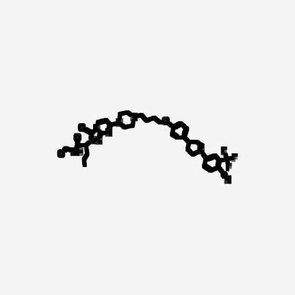 CCCC(C(=O)NC=O)n1nc2nc(N3CCN(CCCCOc4ccc(C5CCN(c6ccc(C#N)c(C(F)(F)F)c6)CC5)cc4)CC3)ccn2c1=O